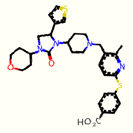 Cc1nc(Sc2ccc(C(=O)O)cc2)ccc1CN1CCC(N2C(=O)N(C3CCOCC3)CC2c2ccsc2)CC1